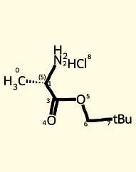 C[C@H](N)C(=O)OCC(C)(C)C.Cl